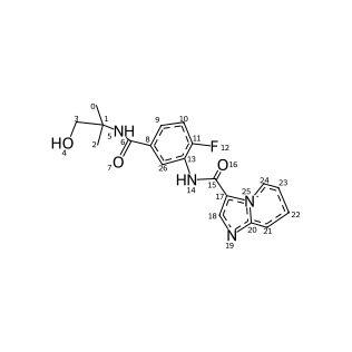 CC(C)(CO)NC(=O)c1ccc(F)c(NC(=O)c2cnc3ccccn23)c1